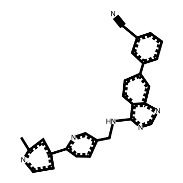 Cc1cc(-c2ccc(CNc3ncnc4cc(-c5cccc(C#N)c5)ccc34)cn2)ccn1